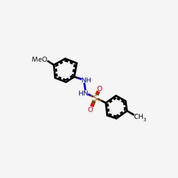 COc1ccc(NNS(=O)(=O)c2ccc(C)cc2)cc1